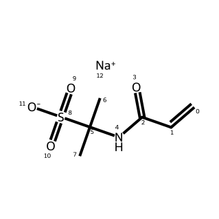 C=CC(=O)NC(C)(C)S(=O)(=O)[O-].[Na+]